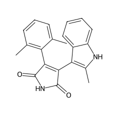 Cc1cccc(C)c1C1=C(c2c(C)[nH]c3ccccc23)C(=O)NC1=O